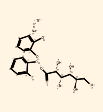 O=C([O-])[C@H](O)[C@@H](O)[C@H](O)[C@H](O)CO.[K+].[Na+].[O-]c1ccccc1[O-].[O-]c1ccccc1[O-].[Ti+4]